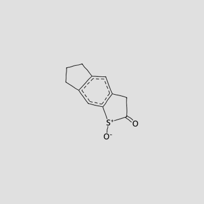 O=C1Cc2cc3c(cc2[S+]1[O-])CCC3